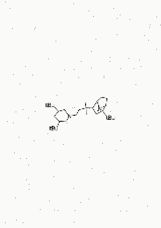 CN1C2CCC1C(C(C)(C)CCN1CC(C(C)(C)C)CC(C(C)(C)C)C1)CC2C(C)(C)C